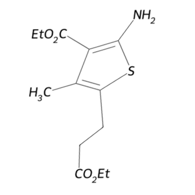 CCOC(=O)CCc1sc(N)c(C(=O)OCC)c1C